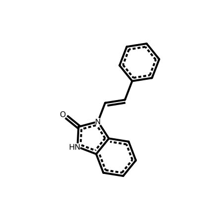 O=c1[nH]c2ccccc2n1C=Cc1ccccc1